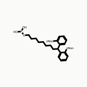 CCCCCCCCCc1ccccc1C(CCCCCCCCOP(O)O)c1ccccc1CCCCCCCCC